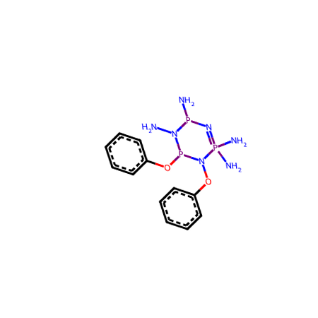 NN1P(N)N=P(N)(N)N(Oc2ccccc2)P1Oc1ccccc1